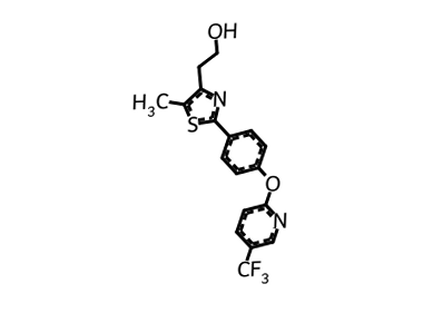 Cc1sc(-c2ccc(Oc3ccc(C(F)(F)F)cn3)cc2)nc1CCO